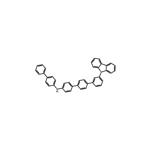 c1ccc(-c2ccc(Nc3ccc(-c4ccc(-c5cccc(-n6c7ccccc7c7ccccc76)c5)cc4)cc3)cc2)cc1